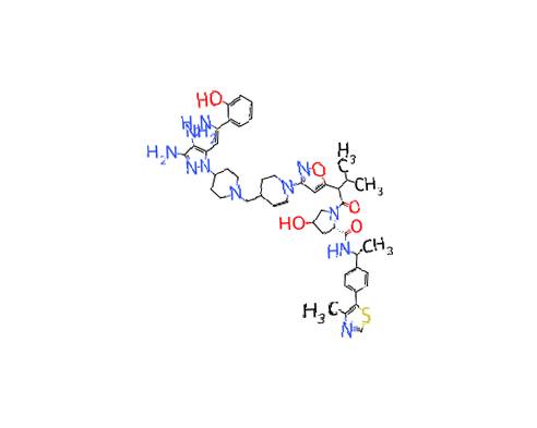 Cc1ncsc1-c1ccc([C@H](C)NC(=O)[C@@H]2C[C@@H](O)CN2C(=O)C(c2cc(N3CCC(CN4CCC(n5nc(N)c(N)c5/C=C(\N)c5ccccc5O)CC4)CC3)no2)C(C)C)cc1